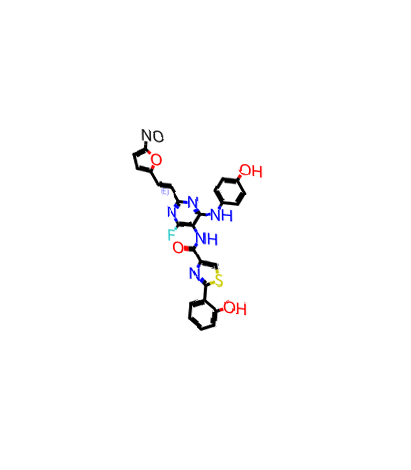 O=Nc1ccc(/C=C/c2nc(F)c(NC(=O)c3csc(-c4ccccc4O)n3)c(Nc3ccc(O)cc3)n2)o1